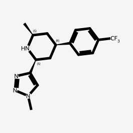 C[C@H]1C[C@@H](c2ccc(C(F)(F)F)cc2)C[C@@H](c2cn(C)nn2)N1